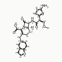 CO/N=C(\C(=O)NC1C(=O)N2C(C(=O)[O-])=C(C[n+]3ccc4occc4c3)CS[C@H]12)c1nsc(N)n1